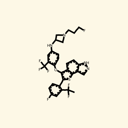 CC(F)(F)c1cc(F)ccc1-c1sc2c(ccc3[nH]ncc32)c1Oc1ccc(NC2CN(CCCF)C2)cc1C(F)(F)F